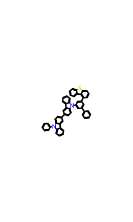 c1ccc(-c2cc(-c3cccc4sc5ccccc5c34)cc(-n3c4ccccc4c4cc(-c5ccc6c(c5)c5ccccc5n6-c5ccccc5)ccc43)c2)cc1